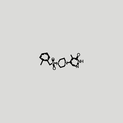 Cc1ccccc1CS(=O)(=O)N1CCN(c2cn[nH]c(=O)c2C)CC1